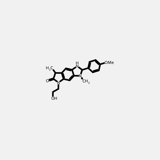 COc1ccc(C2Nc3cc4c(cc3N2C)N(CCO)C(=O)C4C)cc1